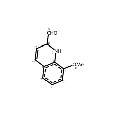 COc1cccc2c1NC(C=O)C=C2